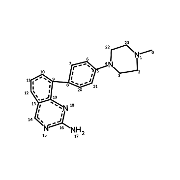 CN1CCN(c2ccc(-c3cccc4cnc(N)nc34)cc2)CC1